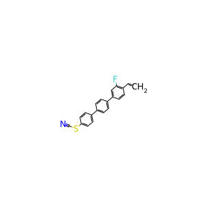 C=Cc1ccc(-c2ccc(-c3ccc(SC#N)cc3)cc2)cc1F